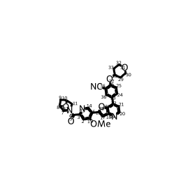 COc1cc(C(=O)N2CC3CC(C2)O3)ncc1-c1cc2nccc(-c3ccc(OC4CCOCC4)c(C#N)c3)c2o1